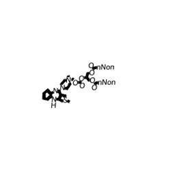 CCCCCCCCCC(=O)OCC(COC(=O)CCCCCCCCC)OC(=O)OC[N+]1(C)CCN(C2=Nc3ccccc3NC3=C2C=S(C)C3)CC1